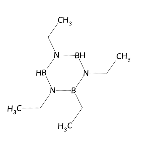 CCB1N(CC)BN(CC)BN1CC